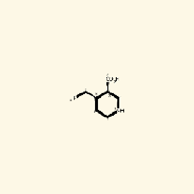 O=C(O)[C@H]1CNCC[C@H]1CF